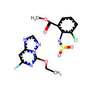 CCOc1nc(F)cc2ncnn12.COC(=O)c1cccc(Cl)c1N=S(=O)=O